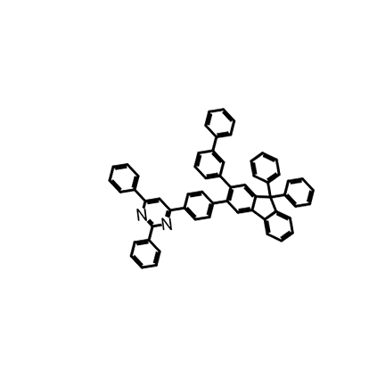 c1ccc(-c2cccc(-c3cc4c(cc3-c3ccc(-c5cc(-c6ccccc6)nc(-c6ccccc6)n5)cc3)-c3ccccc3C4(c3ccccc3)c3ccccc3)c2)cc1